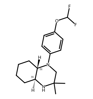 CC1(C)CN(c2ccc(OC(F)F)cc2)[C@H]2CCCC[C@@H]2N1